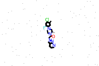 Cc1cc(N2CCN(C(=O)Cn3cc4cccnc4n3)[C@@H](C)C2)c(F)cc1Cl